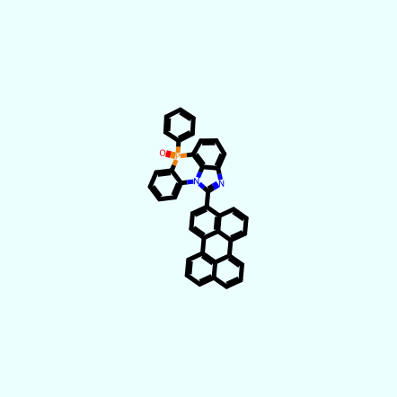 O=P1(c2ccccc2)c2ccccc2-n2c(-c3ccc4c5cccc6cccc(c7cccc3c74)c65)nc3cccc1c32